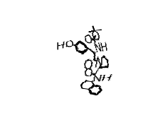 CC(C)(C)OC(=O)N[C@H](C(=O)N1CCC[C@H]1C(=O)N[C@@H]1CCCc2ccccc21)c1ccc(O)cc1